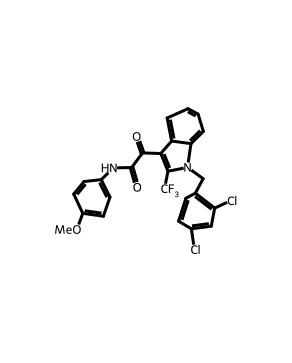 COc1ccc(NC(=O)C(=O)c2c(C(F)(F)F)n(Cc3ccc(Cl)cc3Cl)c3ccccc23)cc1